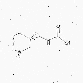 O=C(O)NC1CC12CCCNC2